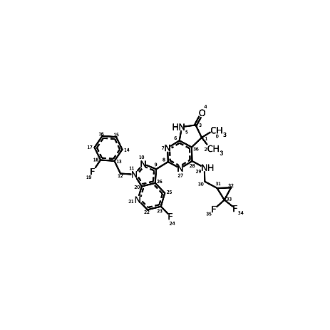 CC1(C)C(=O)Nc2nc(-c3nn(Cc4ccccc4F)c4ncc(F)cc34)nc(NCC3CC3(F)F)c21